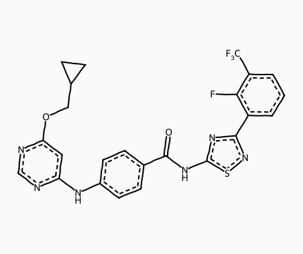 O=C(Nc1nc(-c2cccc(C(F)(F)F)c2F)ns1)c1ccc(Nc2cc(OCC3CC3)ncn2)cc1